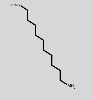 CCCCCCCCCCCCCCC[CH2][AlH2]